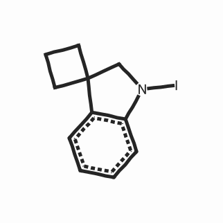 IN1CC2(CCC2)c2ccccc21